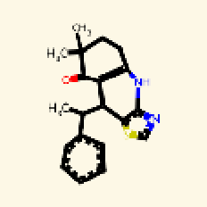 CC(c1ccccc1)C1C2=C(CCC(C)(C)C2=O)Nc2ncsc21